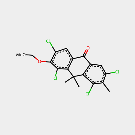 COCOc1c(Cl)cc2c(c1Cl)C(C)(C)c1c(cc(Cl)c(C)c1Cl)C2=O